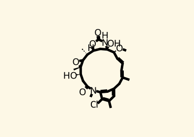 CO[C@@H]1/C=C/C=C(\C)Cc2cc(C)c(Cl)c(c2)N(C)C(=O)C[C@H](O)[C@]2(C)OC2[C@H](C)[C@@H]2C[C@@]1(O)NC(=O)O2